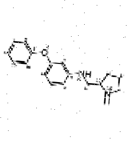 c1ccc(Oc2cccc(NC[C@H]3CCCN3)c2)cc1